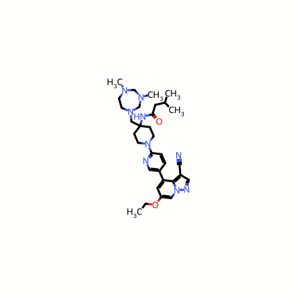 CCOc1cc(-c2ccc(N3CCC(CN4CCN(C)CN(C)C4)(NC(=O)CC(C)C)CC3)nc2)c2c(C#N)cnn2c1